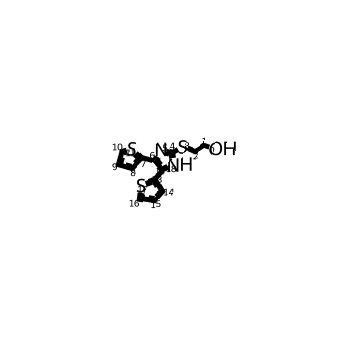 OCCSc1nc(-c2cccs2)c(-c2cccs2)[nH]1